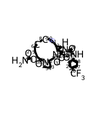 NC(=O)OC1CCCCC/C=C\C2CC2(C(=O)NS(=O)(=O)Nc2ccc(C(F)(F)F)cc2)NC(=O)C2CCCN2C1=O